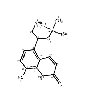 CNCC(O[Si](C)(C)C(C)(C)C)c1ccc(O)c2[nH]c(=O)ccc12